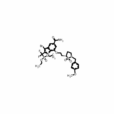 CCOP(=O)(OCC)C(F)(F)c1sc2c(OCC[C@H]3CCN(Cc4ccc(OC)cc4)S3(=O)=O)cc(C(N)=O)cc2c1Br